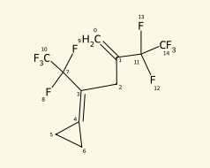 C=C(CC(=C1CC1)C(F)(F)C(F)(F)F)C(F)(F)C(F)(F)F